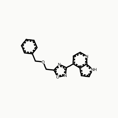 c1ccc(COCc2nc(-c3ccnc4[nH]ccc34)no2)cc1